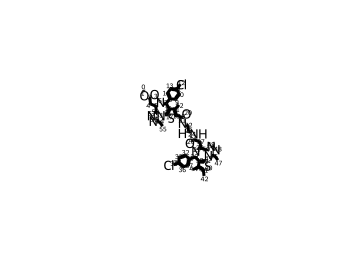 COC(=O)CC1N=C(c2ccc(Cl)cc2)c2c(sc(C(=O)NCCNC(=O)CC3N=C(c4ccc(Cl)cc4)c4c(sc(C)c4C)-n4c(C)nnc43)c2C)-n2c(C)nnc21